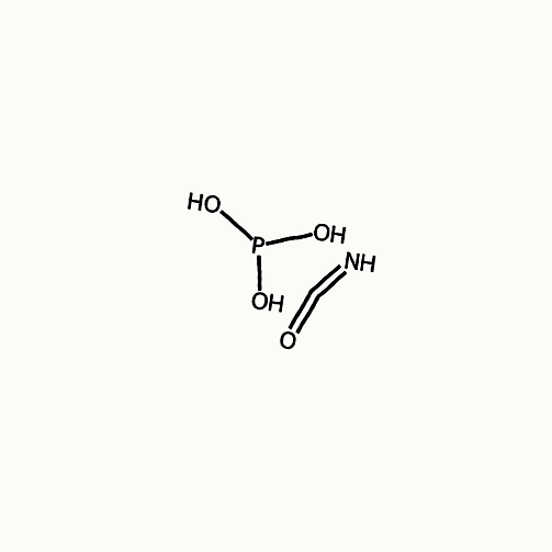 N=C=O.OP(O)O